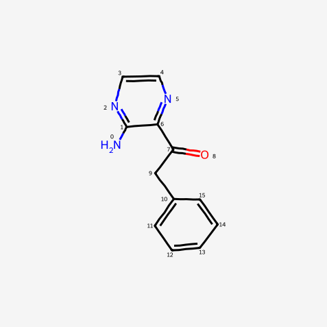 Nc1nccnc1C(=O)Cc1ccccc1